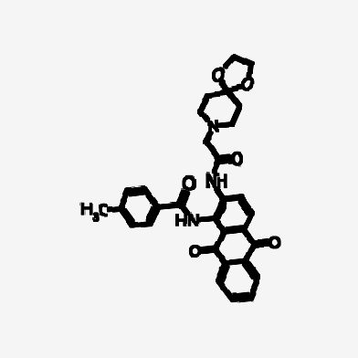 Cc1ccc(C(=O)Nc2c(NC(=O)CN3CCC4(CC3)OCCO4)ccc3c2C(=O)c2ccccc2C3=O)cc1